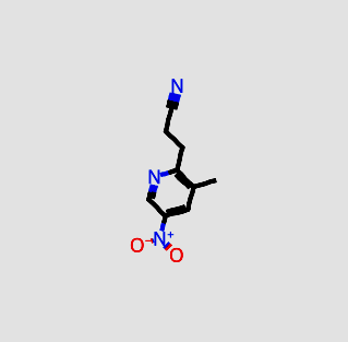 Cc1cc([N+](=O)[O-])cnc1CCC#N